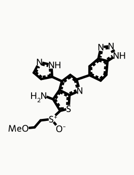 COCC[S+]([O-])c1sc2nc(-c3ccc4[nH]nnc4c3)cc(-c3ccn[nH]3)c2c1N